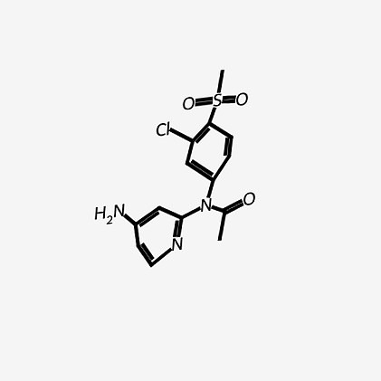 CC(=O)N(c1ccc(S(C)(=O)=O)c(Cl)c1)c1cc(N)ccn1